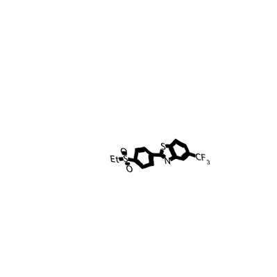 CCS(=O)(=O)c1ccc(-c2nc3cc(C(F)(F)F)ccc3s2)cc1